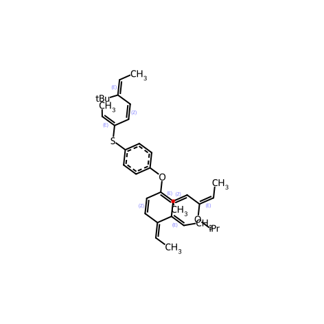 CC=C(/C=C\C(=C/C)Oc1ccc(SC(/C=C\C(=C/C)C(C)(C)C)=C/C)cc1)C(/C=C\C(=C/C)OC(C)C)=C/C